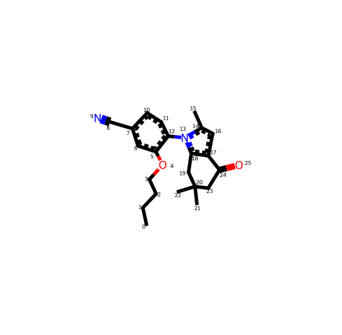 CCCCOc1cc(C#N)ccc1-n1c(C)cc2c1CC(C)(C)CC2=O